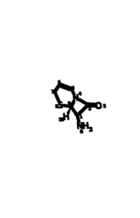 NC1C(=O)N2C=CCS[C@H]12